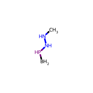 BPNNC